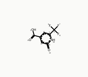 O=C(O)c1cc(C(F)(F)F)[nH]c(=O)c1